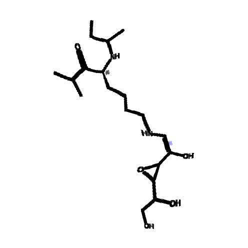 CCC(C)N[C@@H](CCCCN/C=C(/O)C1OC1C(O)CO)C(=O)C(C)C